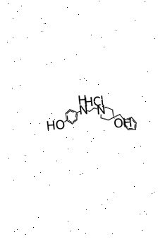 Cl.Oc1ccc(NCCN2CCC(O)(Cc3ccccc3)CC2)cc1